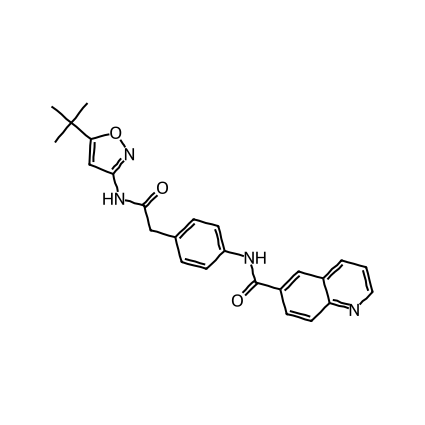 CC(C)(C)c1cc(NC(=O)Cc2ccc(NC(=O)c3ccc4ncccc4c3)cc2)no1